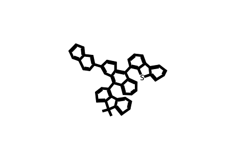 CC1(C)c2ccccc2-c2c(-c3c4ccccc4c(-c4cccc5c4sc4ccccc45)c4ccc(-c5ccc6ccccc6c5)cc34)cccc21